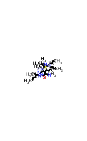 CCCCC1=C(C#N)C(=O)n2nc(C(CC)CCCC)nc2C1Nc1sc(N(CCCC)CCCC)nc1C(C)(C)C